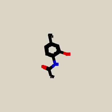 CC(C)C(=O)Nc1ccc(C(F)(F)F)cc1O